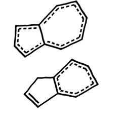 C1=Cc2ccccc2C1.c1ccc2cccc-2cc1